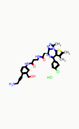 Cc1sc2c(c1C)C(c1ccc(Cl)cc1)=N[C@@H](CC(=O)NCCC(=O)Nc1ccc(C#CCN)c(CO)c1)c1nnc(C)n1-2.Cl